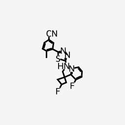 Cc1ccc(C#N)cc1-c1nnc(NCC2(c3ncccc3F)CC(F)C2)s1